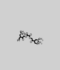 CC(C)CC(CN(C)C)C(=O)COC(=O)C(=O)OCC(=O)C(CC(C)C)CN(C)C